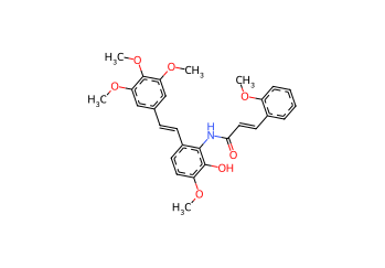 COc1ccccc1/C=C/C(=O)Nc1c(/C=C/c2cc(OC)c(OC)c(OC)c2)ccc(OC)c1O